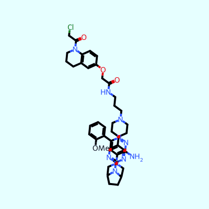 COc1ccccc1-c1cc(N2CC3CCC(C2)N3c2ncc(C3CCN(CCCNC(=O)COc4ccc5c(c4)CCCN5C(=O)CCl)CC3)cn2)c(N)nn1